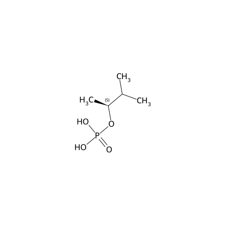 CC(C)[C@H](C)OP(=O)(O)O